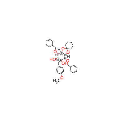 COc1ccc(C[C@]2(O)[C@@H](O)[C@@H](OCc3ccccc3)[C@@H]3OC4(CCCCC4)O[C@H]3[C@@H]2OCc2ccccc2)cc1